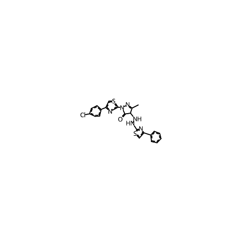 CC1=NN(c2nc(-c3ccc(Cl)cc3)cs2)C(=O)C1NNc1nc(-c2ccccc2)cs1